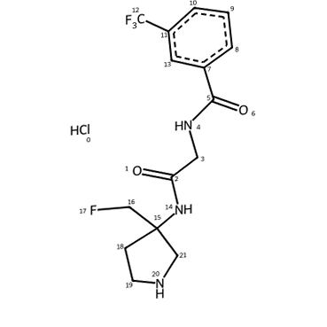 Cl.O=C(CNC(=O)c1cccc(C(F)(F)F)c1)NC1(CF)CCNC1